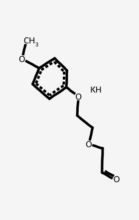 COc1ccc(OCCOCC=O)cc1.[KH]